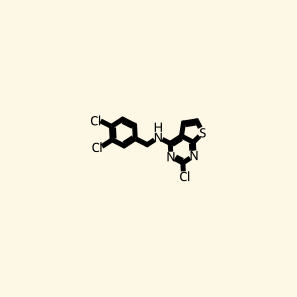 Clc1nc(NCc2ccc(Cl)c(Cl)c2)c2ccsc2n1